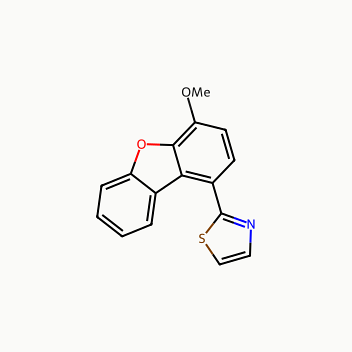 COc1ccc(-c2nccs2)c2c1oc1ccccc12